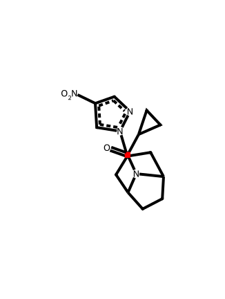 O=C(C1CC1)N1C2CCC1CC(n1cc([N+](=O)[O-])cn1)C2